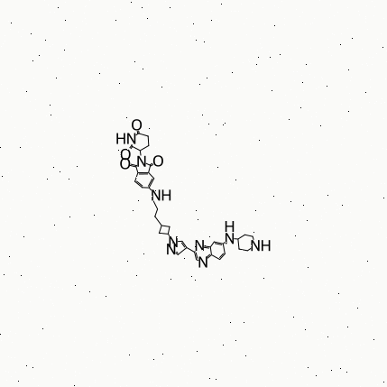 O=C1CCC(N2C(=O)c3ccc(NCCCC4CC(n5cc(-c6cnc7ccc(NC8CCNCC8)cc7n6)cn5)C4)cc3C2=O)C(=O)N1